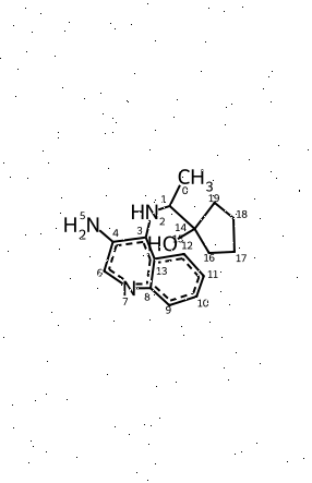 CC(Nc1c(N)cnc2ccccc12)C1(O)CCCC1